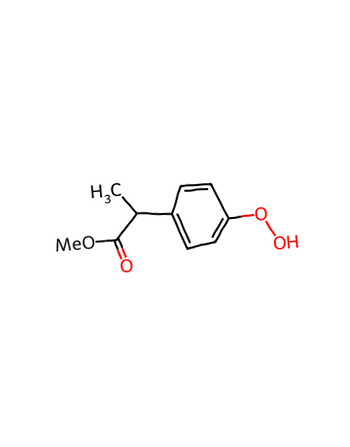 COC(=O)C(C)c1ccc(OO)cc1